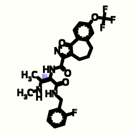 CN/C(C)=C(/NC(=O)c1noc2c1CCCc1cc(OC(F)(F)F)ccc1-2)C(=O)NCc1ccccc1F